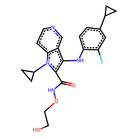 O=C(NOCCO)c1c(Nc2ccc(C3CC3)cc2F)c2cnccc2n1C1CC1